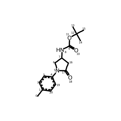 Cc1ccc(N2CC(NC(=O)OC(C)(C)C)CC2=O)cc1